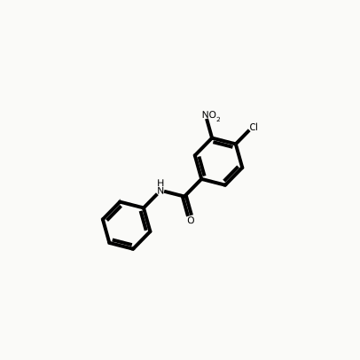 O=C(Nc1[c]cccc1)c1ccc(Cl)c([N+](=O)[O-])c1